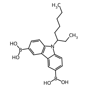 CCCCCC(CC)n1c2ccc(B(O)O)cc2c2cc(B(O)O)ccc21